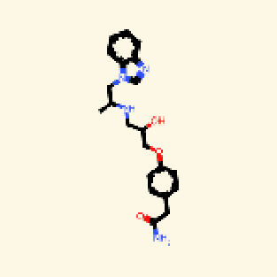 CC(Cn1cnc2ccccc21)NCC(O)COc1ccc(CC(N)=O)cc1